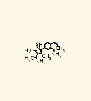 C=Cc1cc(-c2c(C)c(C(C)C)c(C)n2C)ccc1/C=C\C